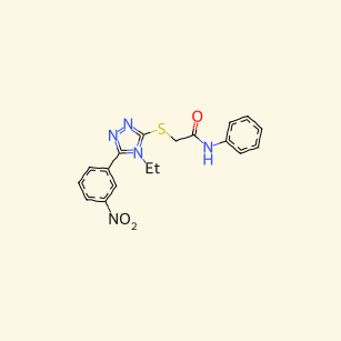 CCn1c(SCC(=O)Nc2ccccc2)nnc1-c1cccc([N+](=O)[O-])c1